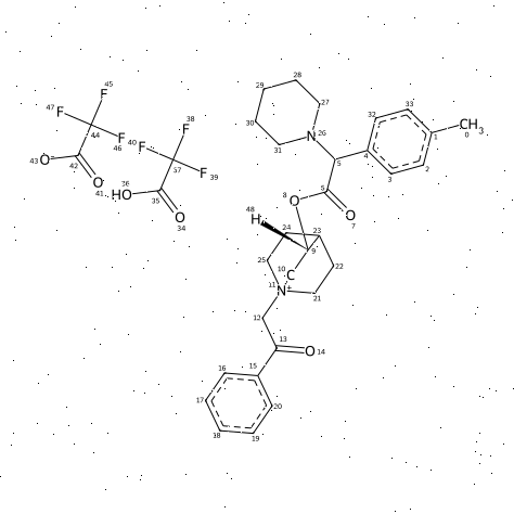 Cc1ccc(C(C(=O)O[C@H]2C[N+]3(CC(=O)c4ccccc4)CCC2CC3)N2CCCCC2)cc1.O=C(O)C(F)(F)F.O=C([O-])C(F)(F)F